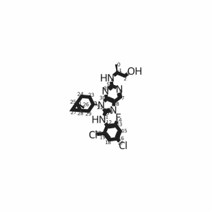 C[C@@H](CO)Nc1ncc2nc(Nc3c(F)cc(Cl)cc3Cl)n([C@H]3CC[C@@]4(C)CC4C3)c2n1